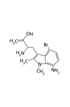 C=C(O)C(N)Cc1c(C)n(C)c2c(N)ccc(Br)c12